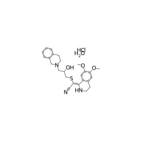 COc1cc2c(cc1OC)C(=C(C#N)SCC(O)CN1CCc3ccccc3C1)NCC2.Cl.O